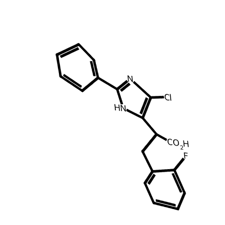 O=C(O)C(Cc1ccccc1F)c1[nH]c(-c2ccccc2)nc1Cl